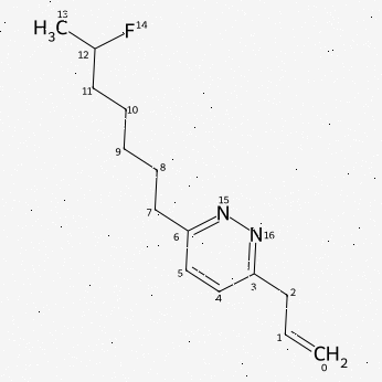 C=CCc1ccc(CCCCCC(C)F)nn1